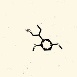 CCC(CO)c1cc(OC)ccc1OC